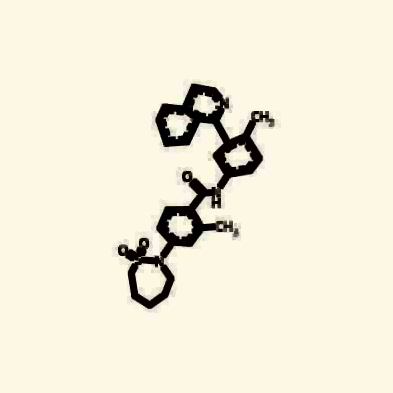 Cc1cc(N2CCCCCS2(=O)=O)ccc1C(=O)Nc1ccc(C)c(-c2nccc3ccccc23)c1